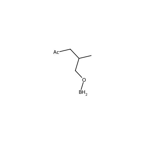 BOCC(C)CC(C)=O